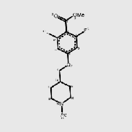 COC(=O)c1c(F)cc(OCC2CCN(C(C)=O)CC2)cc1F